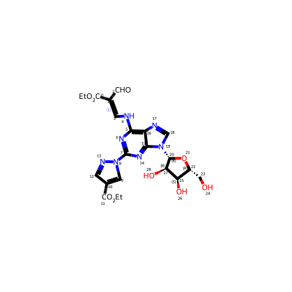 CCOC(=O)/C(C=O)=C/Nc1nc(-n2cc(C(=O)OCC)cn2)nc2c1ncn2[C@@H]1O[C@H](CO)[C@@H](O)[C@H]1O